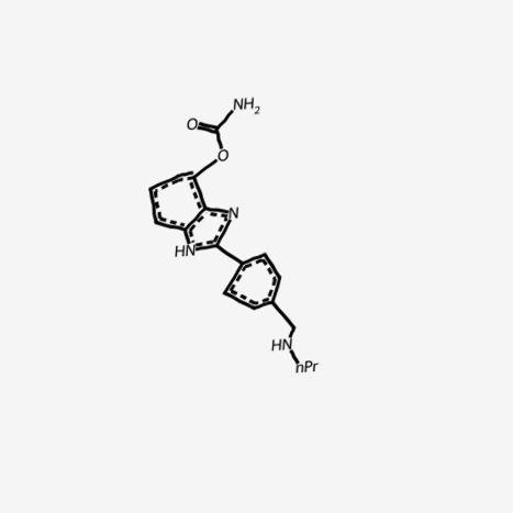 CCCNCc1ccc(-c2nc3c(OC(N)=O)cccc3[nH]2)cc1